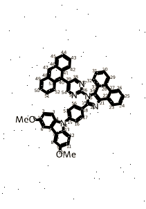 COc1ccc2c(c1)c1cc(OC)ccc1n2-c1ccc(-c2nc3c4ccccc4c4ccccc4c3n2-c2ncc(-c3c4ccccc4cc4ccccc34)cn2)cc1